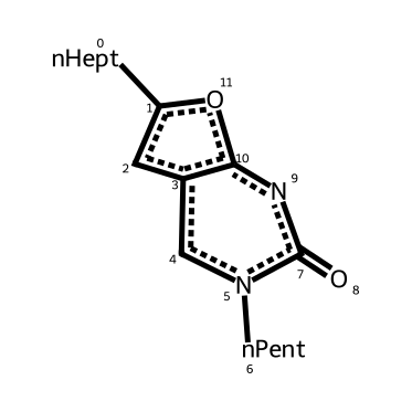 CCCCCCCc1cc2cn(CCCCC)c(=O)nc2o1